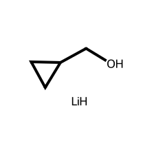 OCC1CC1.[LiH]